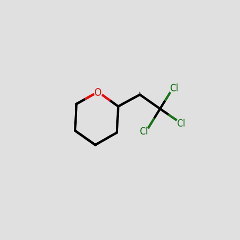 ClC(Cl)(Cl)[CH]C1CCCCO1